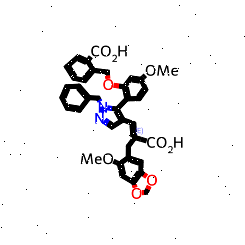 COc1ccc(-c2c(/C=C(\Cc3cc4c(cc3OC)OCO4)C(=O)O)cnn2Cc2ccccc2)c(OCc2ccccc2C(=O)O)c1